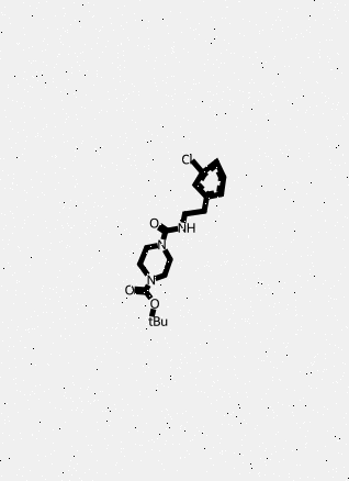 CC(C)(C)OC(=O)N1CCN(C(=O)NCCc2cccc(Cl)c2)CC1